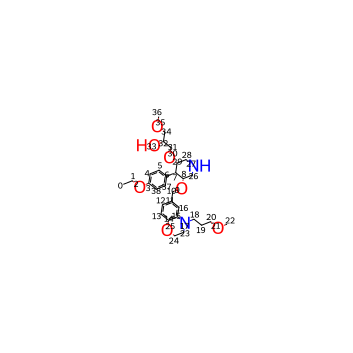 CCOc1ccc([C@@H]2[C@@H](OCc3ccc4c(c3)N(CCCOC)CCO4)CNC[C@H]2OC[C@H](O)COC)cc1